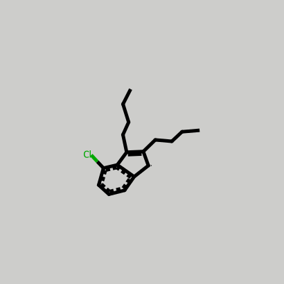 CCCCC1=C(CCCC)c2c(Cl)cccc2[CH]1